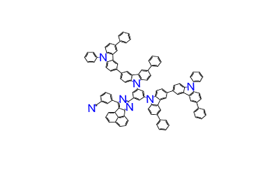 N#Cc1cccc(-c2nc(-c3cc(-n4c5ccc(-c6ccccc6)cc5c5cc(-c6ccc7c(c6)c6cc(-c8ccccc8)ccc6n7-c6ccccc6)ccc54)cc(-n4c5ccc(-c6ccccc6)cc5c5cc(-c6ccc7c(c6)c6cc(-c8ccccc8)ccc6n7-c6ccccc6)ccc54)c3)nc3c2-c2cccc4cccc-3c24)c1